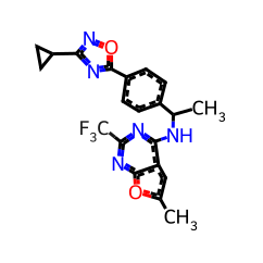 Cc1cc2c(NC(C)c3ccc(-c4nc(C5CC5)no4)cc3)nc(C(F)(F)F)nc2o1